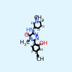 C#Cc1ccc(-c2nnc(N[C@@H]3CCCN(C)C3)c(=O)n2C)c(O)c1